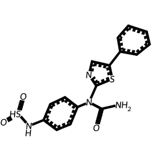 NC(=O)N(c1ccc(N[SH](=O)=O)cc1)c1ncc(-c2ccccc2)s1